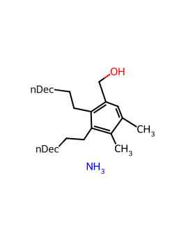 CCCCCCCCCCCCc1c(CO)cc(C)c(C)c1CCCCCCCCCCCC.N